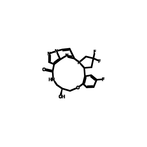 O=C1NC[C@H](O)COc2ccc(F)cc2C2CC(F)(F)CN2c2ccn3ncc1c3n2